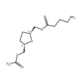 NCCCC(=O)OC[C@@H]1CC[C@H](COC(=O)C(F)(F)F)O1